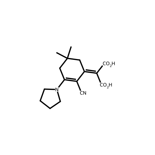 CC1(C)CC(=C(C(=O)O)C(=O)O)C(C#N)=C(N2CCCC2)C1